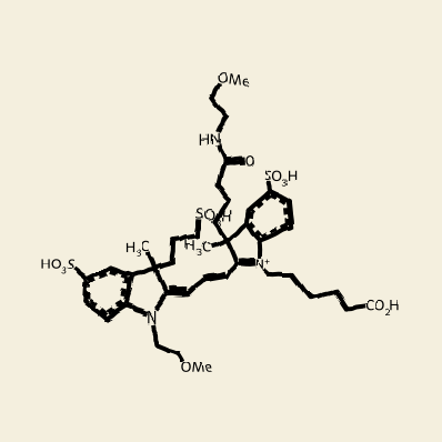 COCCNC(=O)CCCC1(C)C(/C=C/C=C2/N(CCOC)c3ccc(S(=O)(=O)O)cc3C2(C)CCCS(=O)(=O)O)=[N+](CCCCCC(=O)O)c2ccc(S(=O)(=O)O)cc21